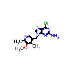 COc1c(C)ncc(Cn2cnc3c(Br)nc(N)nc32)c1C